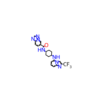 O=C(NC1CCC(Nc2cccc3nc(C(F)(F)F)cn23)CC1)c1ccc2ncnn2c1